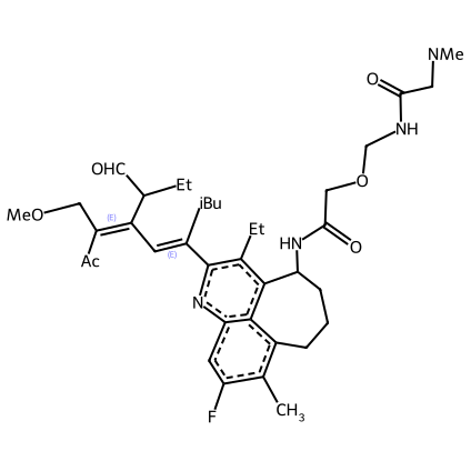 CCc1c(/C(=C/C(=C(/COC)C(C)=O)C(C=O)CC)C(C)CC)nc2cc(F)c(C)c3c2c1C(NC(=O)COCNC(=O)CNC)CCC3